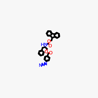 [N-]=[N+]=Nc1ccc(C(=O)OCC(Cc2ccccc2)NC(=O)OCC2c3ccccc3-c3ccccc32)cc1